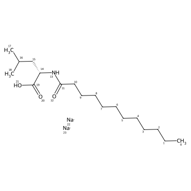 CCCCCCCCCCCC(=O)N[C@@H](CC(C)C)C(=O)O.[Na].[Na]